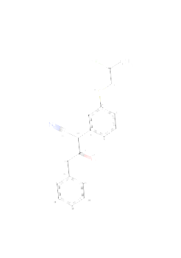 CC(F)CSc1cccc(C(C#N)C(=O)Cc2ccccc2)c1